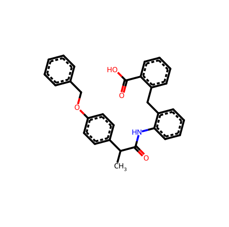 CC(C(=O)Nc1ccccc1Cc1ccccc1C(=O)O)c1ccc(OCc2ccccc2)cc1